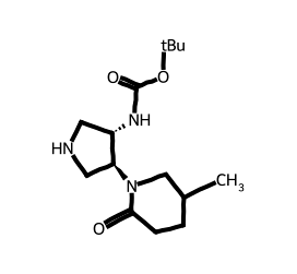 CC1CCC(=O)N([C@H]2CNC[C@@H]2NC(=O)OC(C)(C)C)C1